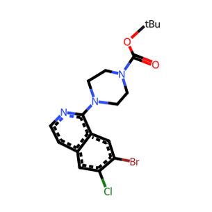 CC(C)(C)OC(=O)N1CCN(c2nccc3cc(Cl)c(Br)cc23)CC1